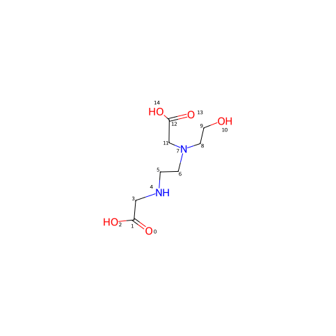 O=C(O)CNCCN(CCO)CC(=O)O